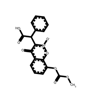 COC(=O)Oc1cccc2c(=O)c(C(C(=O)O)c3ccccc3)[n+]([O-])oc12